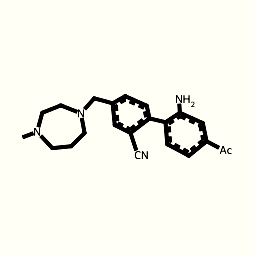 CC(=O)c1ccc(-c2ccc(CN3CCCN(C)CC3)cc2C#N)c(N)c1